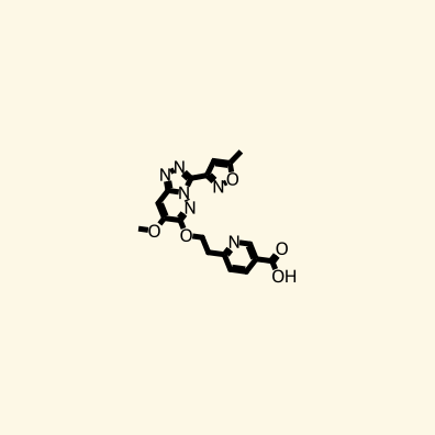 COc1cc2nnc(-c3cc(C)on3)n2nc1OCCc1ccc(C(=O)O)cn1